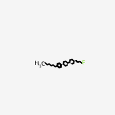 CCCCCCCc1ccc([C@H]2CC[C@H]([C@H]3CC[C@H](C=CCCF)CC3)CC2)cc1